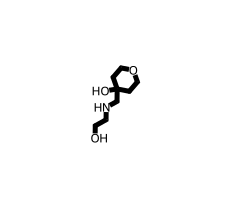 OCCNCC1(O)CCOCC1